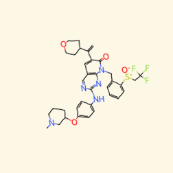 C=C(c1cc2cnc(Nc3ccc(OC4CCCN(C)C4)cc3)nc2n(Cc2ccccc2[S+]([O-])CC(F)(F)F)c1=O)C1CCOCC1